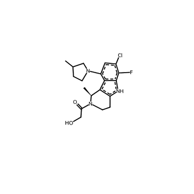 CC1CCN(c2cc(Cl)c(F)c3[nH]c4c(c23)[C@H](C)N(C(=O)CO)CC4)C1